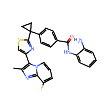 Cc1nc2c(F)cccn2c1-c1csc(C2(c3ccc(C(=O)Nc4ccccc4N)cc3)CC2)n1